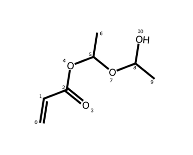 C=CC(=O)OC(C)OC(C)O